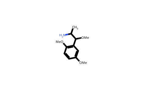 COc1ccc(OC)c(C(OC)C(C)N)c1